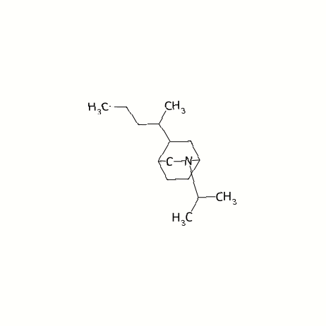 CCCC(C)C1CC2CCC1CN2C(C)C